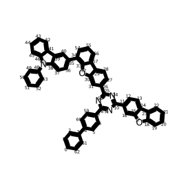 c1ccc(-c2ccc(-c3nc(-c4ccc5c(c4)oc4ccccc45)nc(-c4ccc5c(c4)oc4c(-c6ccc7c(c6)c6ccccc6n7-c6ccccc6)cccc45)n3)cc2)cc1